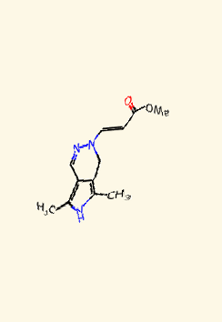 COC(=O)C=CN1Cc2c(C)[nH]c(C)c2C=N1